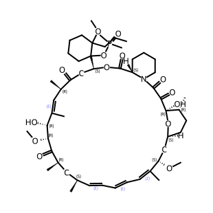 CCCC1(OC)CCCCC1(OP(C)(C)=O)[C@@H]1CC(=O)[C@H](C)/C=C(\C)[C@@H](O)[C@@H](OC)C(=O)[C@H](C)C[C@H](C)/C=C/C=C/C=C(/C)[C@@H](OC)C[C@@H]2CC[C@@H](C)[C@@](O)(O2)C(=O)C(=O)N2CCCC[C@H]2C(=O)O1